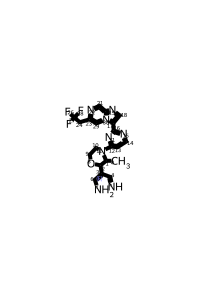 CC1C(/C(C=N)=C/N)OCCN1c1ccnc(-c2cnc3cnc(CC(F)(F)F)cn23)n1